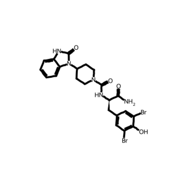 NC(=O)[C@@H](Cc1cc(Br)c(O)c(Br)c1)NC(=O)N1CCC(n2c(=O)[nH]c3ccccc32)CC1